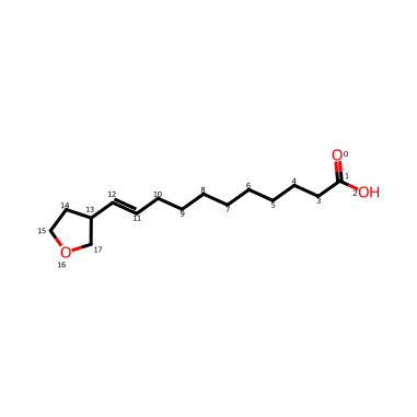 O=C(O)CCCCCCCCC=CC1CCOC1